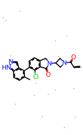 C=CC(=O)N1CC(N2Cc3ccc(-c4c(C)ccc5[nH]ncc45)c(Cl)c3C2=O)C1